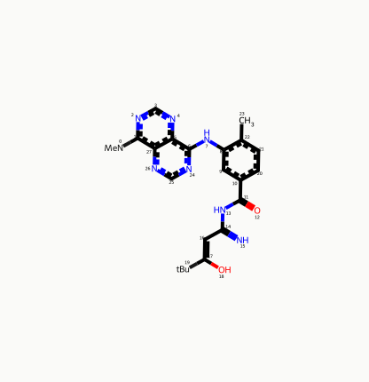 CNc1ncnc2c(Nc3cc(C(=O)NC(=N)/C=C(\O)C(C)(C)C)ccc3C)ncnc12